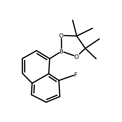 CC1(C)OB(c2cccc3cccc(F)c23)OC1(C)C